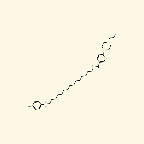 CCCN1CCN(c2ccc(C(=O)NCCCCCCCCCCCCCCCS(=O)(=O)c3ccc(C)cc3)cn2)CC1